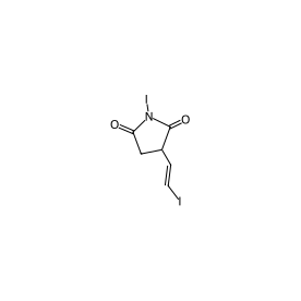 O=C1CC(/C=C/I)C(=O)N1I